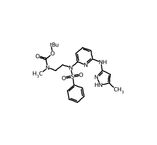 Cc1cc(Nc2cccc(N(CCN(C)C(=O)OC(C)(C)C)S(=O)(=O)c3ccccc3)n2)n[nH]1